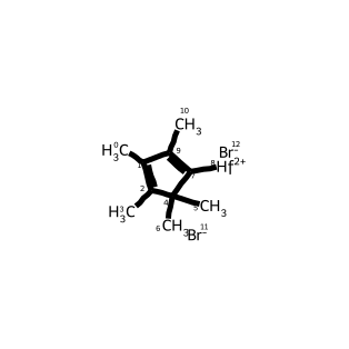 CC1=C(C)C(C)(C)[C]([Hf+2])=C1C.[Br-].[Br-]